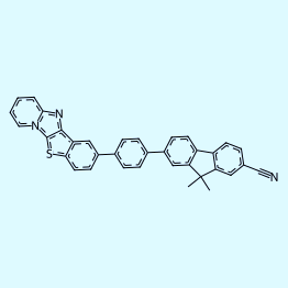 CC1(C)c2cc(C#N)ccc2-c2ccc(-c3ccc(-c4ccc5sc6c(nc7ccccn76)c5c4)cc3)cc21